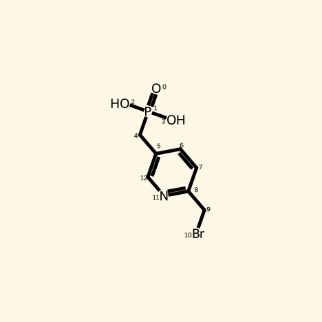 O=P(O)(O)Cc1ccc(CBr)nc1